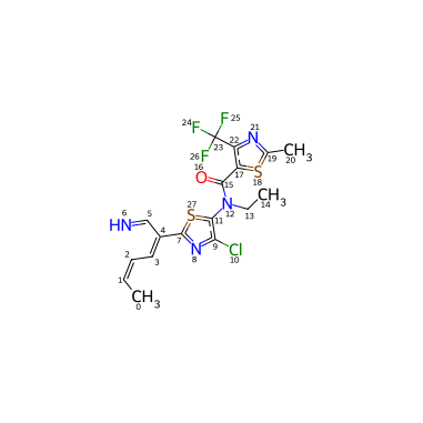 C/C=C\C=C(/C=N)c1nc(Cl)c(N(CC)C(=O)c2sc(C)nc2C(F)(F)F)s1